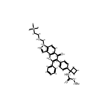 CC(C)(C)OC(=O)NC1(c2ccc(-c3c(-c4ccccc4)oc4c(ccc5c4cnn5COCC[Si](C)(C)C)c3=O)cc2)CCC1